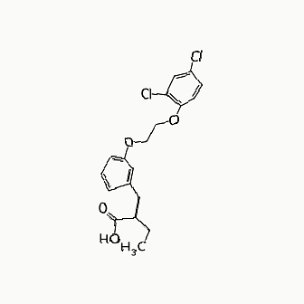 CCC(Cc1cccc(OCCOc2ccc(Cl)cc2Cl)c1)C(=O)O